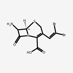 NC1C(=O)N2C(C(=O)O)=C(C=C(Br)Br)CS[C@H]12